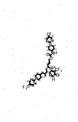 CC(CC[C@@H](/C=C/COC(=O)NC1CCN(c2ncc(C(F)(F)F)cn2)CC1)Nc1cn[nH]c(=O)c1C(F)(F)F)CC1CCN(c2ncc(C(F)(F)F)cn2)CC1